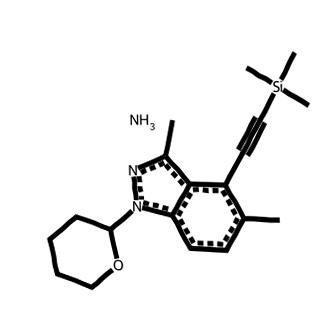 Cc1ccc2c(c(C)nn2C2CCCCO2)c1C#C[Si](C)(C)C.N